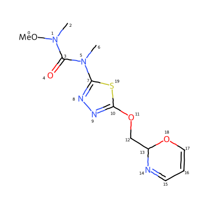 CON(C)C(=O)N(C)c1nnc(OCC2N=CC=CO2)s1